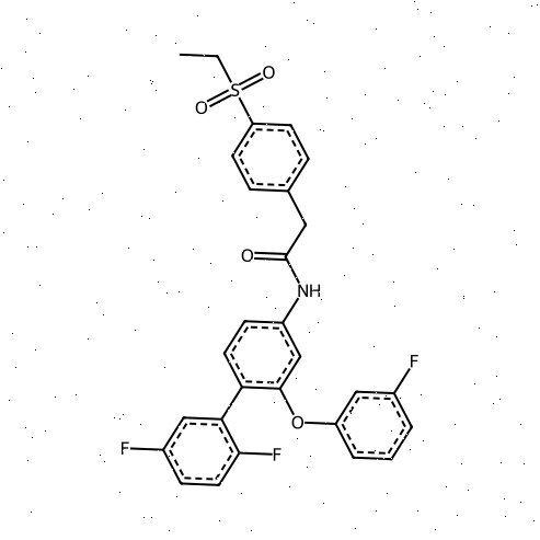 CCS(=O)(=O)c1ccc(CC(=O)Nc2ccc(-c3cc(F)ccc3F)c(Oc3cccc(F)c3)c2)cc1